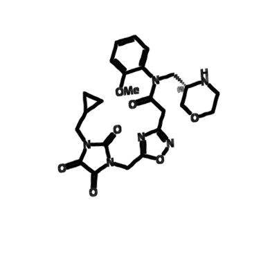 COc1ccccc1N(C[C@H]1COCCN1)C(=O)Cc1noc(CN2C(=O)C(=O)N(CC3CC3)C2=O)n1